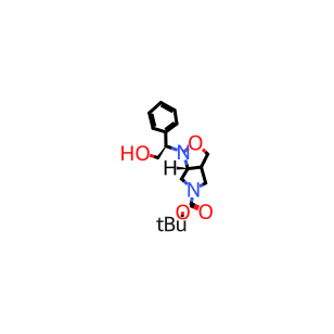 CC(C)(C)OC(=O)N1CC2CON([C@@H](CO)c3ccccc3)[C@H]2C1